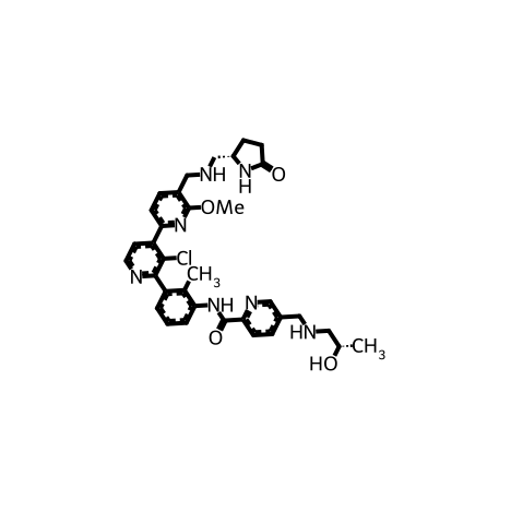 COc1nc(-c2ccnc(-c3cccc(NC(=O)c4ccc(CNC[C@H](C)O)cn4)c3C)c2Cl)ccc1CNC[C@@H]1CCC(=O)N1